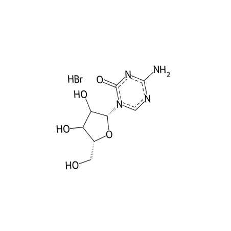 Br.Nc1ncn([C@@H]2O[C@H](CO)C(O)C2O)c(=O)n1